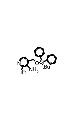 CC(C)c1nccc(CO[Si](c2ccccc2)(c2ccccc2)C(C)(C)C)c1N